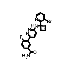 NC(=O)c1ccc(F)c(-c2ccc(NC3(c4ncccc4Br)CCC3)nn2)c1